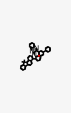 CC1(C)c2ccccc2-c2ccc3c(ccc4c3c3ccccc3n4-c3nc4ccccc4nc3-c3cccc(-c4ccccc4)c3)c21